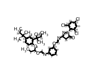 CCC(O/C=N/c1cccc(O/C=N/C2=NN(c3c(Cl)cc(Cl)cc3Cl)C(=O)C2)c1)Oc1ccc(C(C)(C)CC)cc1C(C)(C)CC